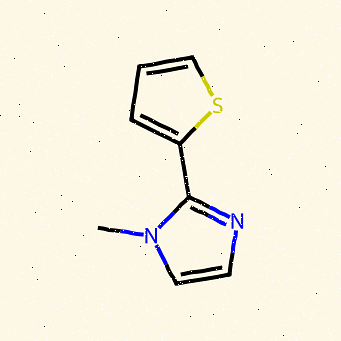 Cn1ccnc1-c1cccs1